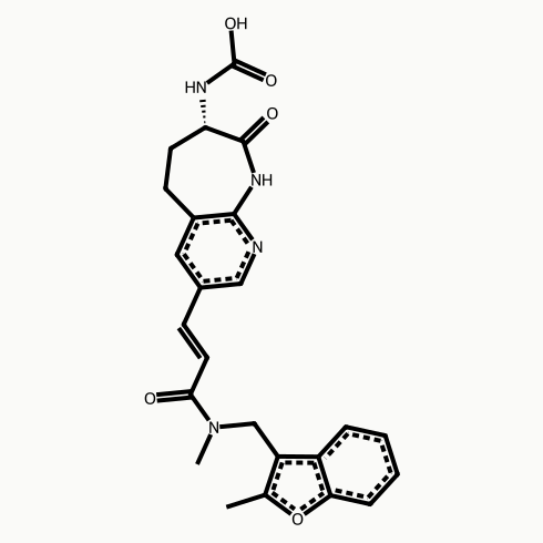 Cc1oc2ccccc2c1CN(C)C(=O)/C=C/c1cnc2c(c1)CC[C@H](NC(=O)O)C(=O)N2